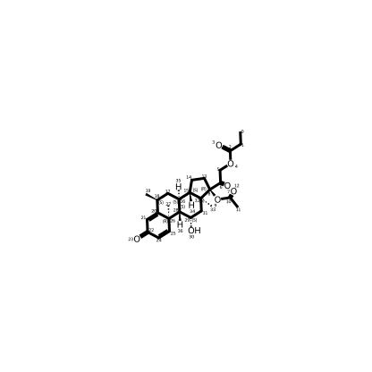 CCC(=O)OCC(=O)[C@@]1(OC(C)=O)CC[C@H]2[C@@H]3C[C@H](C)C4=CC(=O)C=C[C@]4(C)[C@H]3[C@@H](O)C[C@@]21C